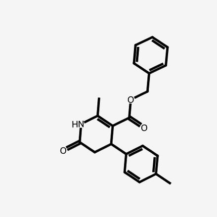 CC1=C(C(=O)OCc2ccccc2)C(c2ccc(C)cc2)CC(=O)N1